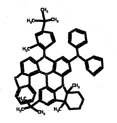 Cc1cc(C(C)(C)C)ccc1N1c2cc(N(c3ccccc3)c3ccccc3)cc3c2B(c2cc(C(C)(C)C)cc4c2N3C2(C)CCCCC42C)c2c1ccc1sc3ccccc3c21